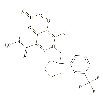 C=N/C=N\c1c(C)n(CC2(c3cccc(C(F)(F)F)c3)CCCC2)nc(C(=O)NC)c1=O